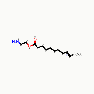 CCCCCCCC/C=C/CCCCCCCC(=O)OCCN